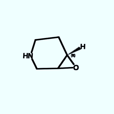 C1C[C@H]2OC2CN1